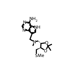 CSC[C@@H]1OC(C)(C)O[C@H]1CN(C)Cc1c[nH]c2c(N)ncnc12